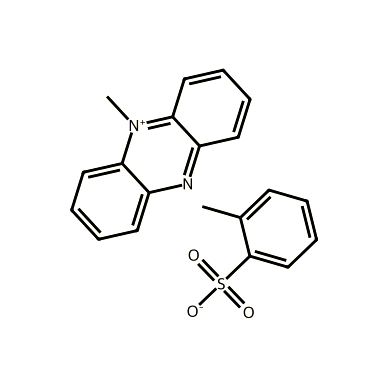 C[n+]1c2ccccc2nc2ccccc21.Cc1ccccc1S(=O)(=O)[O-]